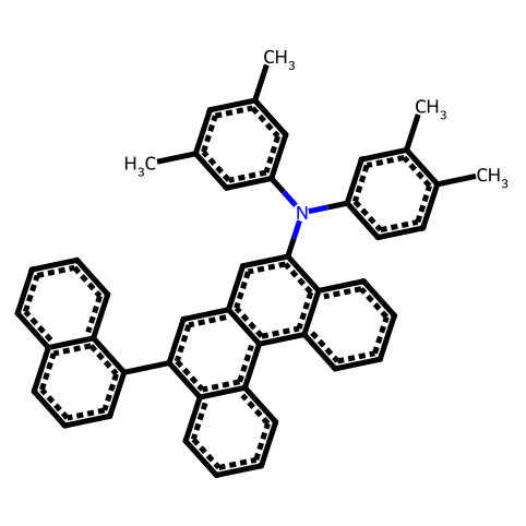 Cc1cc(C)cc(N(c2ccc(C)c(C)c2)c2cc3cc(-c4cccc5ccccc45)c4ccccc4c3c3ccccc23)c1